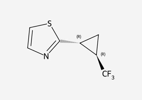 FC(F)(F)[C@@H]1C[C@H]1c1nccs1